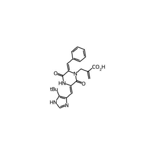 C=C(Cn1c(=O)/c(=C/c2nc[nH]c2C(C)(C)C)[nH]c(=O)/c1=C/c1ccccc1)C(=O)O